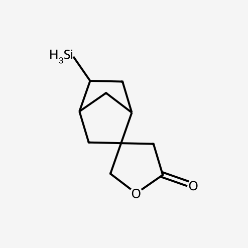 O=C1CC2(CO1)CC1CC2CC1[SiH3]